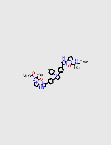 COCN[C@H](C(=O)N1CCC[C@H]1c1nc(-c2ccc(C3CCC(c4ccc(-c5c[nH]c([C@@H]6CCCN6C(=O)[C@@H](NC(=O)OC)C(C)(C)C)n5)cc4)N3c3ccc(F)cc3)cc2)c[nH]1)C(C)(C)C